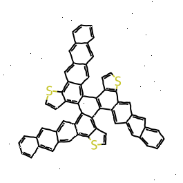 c1ccc2cc3cc4c(cc3cc2c1)c1sccc1c1c2c3cc5cc6ccccc6cc5cc3c3sccc3c2c2c3cc5cc6ccccc6cc5cc3c3sccc3c2c41